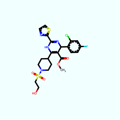 COC(=O)C1=C(C2CCN(S(=O)(=O)CCO)CC2)NC(c2nccs2)=NC1c1ccc(F)cc1Cl